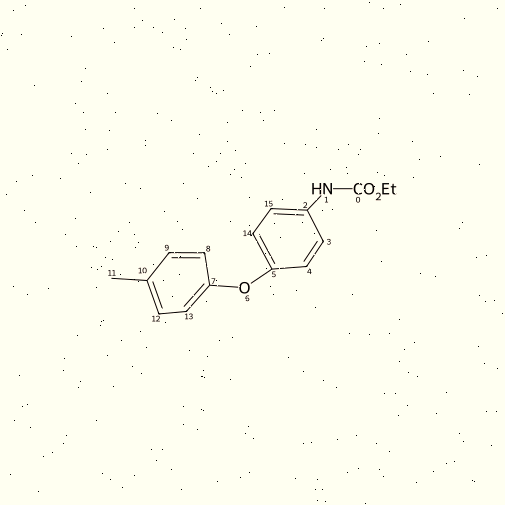 CCOC(=O)Nc1ccc(Oc2ccc(C)cc2)cc1